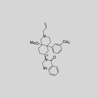 C=CCN1CCC2(c3cccc(OC(C)=O)c3)C[C@@H](N(CC(C)C)C(=O)c3ccccc3)CCC2(OC)C1